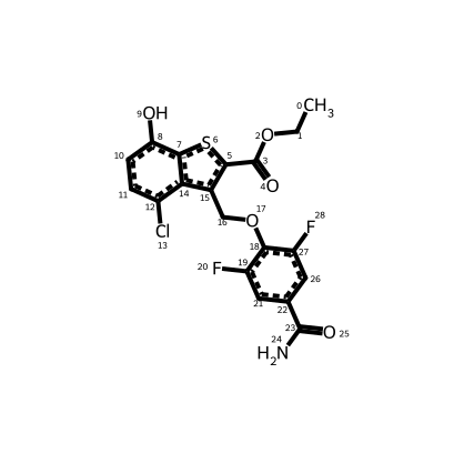 CCOC(=O)c1sc2c(O)ccc(Cl)c2c1COc1c(F)cc(C(N)=O)cc1F